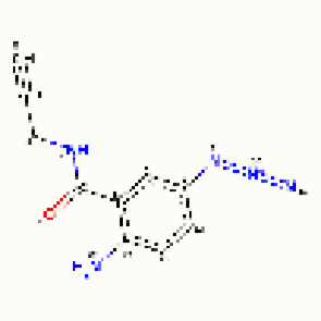 C#CCNC(=O)c1cc(N=[N+]=[N-])ccc1N